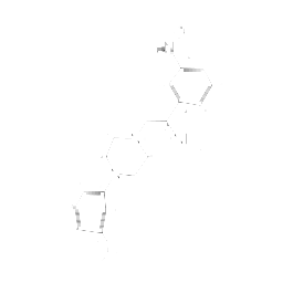 COc1cccc(N2CCN(CC(N)c3cccc([N+](=O)[O-])c3)CC2)c1